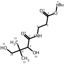 CCCCOC(=O)CCNC(=O)C(O)C(C)(C)CO